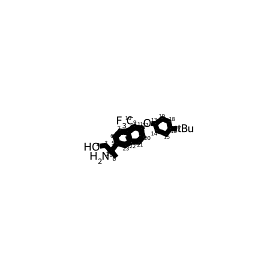 CC(N)(CO)c1ccc2c(C(F)(F)F)c(OC3CCC(C(C)(C)C)CC3)ccc2c1